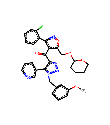 O=C(c1nnn(Cc2cccc(OC(F)(F)F)c2)c1-c1cccnc1)c1c(-c2ccccc2Cl)noc1COC1CCCCO1